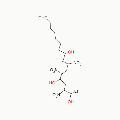 CCC(O)C(CC(O)C(CC(CC(O)CCCCCCC=O)[N+](=O)[O-])[N+](=O)[O-])[N+](=O)[O-]